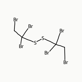 BrCC(Br)(Br)SSC(Br)(Br)CBr